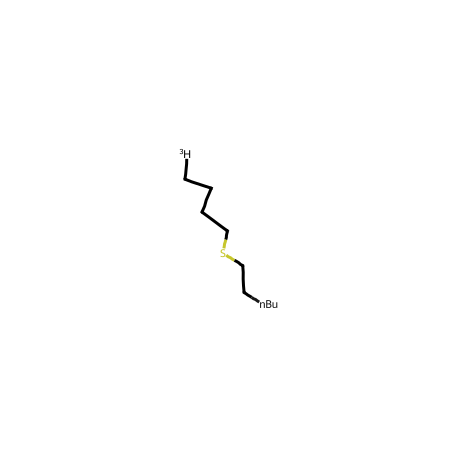 [3H]CCCCSCCCCCC